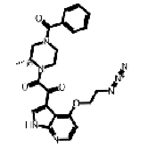 C[C@@H]1CN(C(=O)c2ccccc2)CCN1C(=O)C(=O)c1c[nH]c2nccc(OCCN=[N+]=[N-])c12